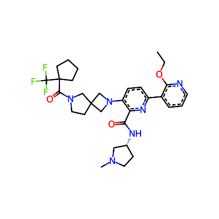 CCOc1ncccc1-c1ccc(N2CC3(CCN(C(=O)C4(C(F)(F)F)CCCC4)C3)C2)c(C(=O)N[C@@H]2CCN(C)C2)n1